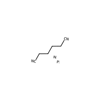 N#CCCCCC#N.[N].[P]